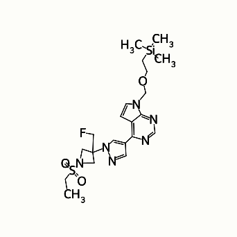 CCS(=O)(=O)N1CC(CF)(n2cc(-c3ncnc4c3ccn4COCC[Si](C)(C)C)cn2)C1